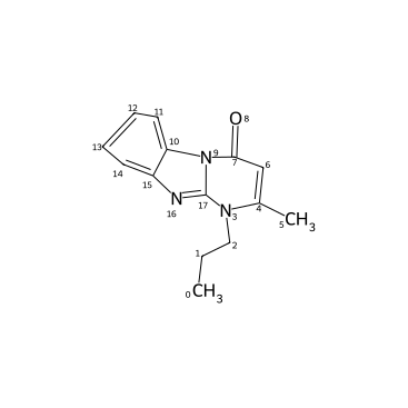 CCCn1c(C)cc(=O)n2c3ccccc3nc12